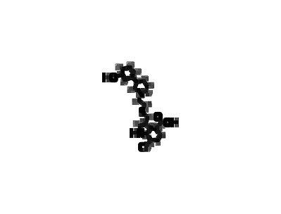 O=C(O)c1ccc(Cl)c2[nH]cc(CSCCN3CCCC(c4cccc(O)c4)C3)c12